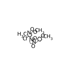 COC(=O)c1cc(N2CCC(=O)N(Cc3ccc(OC)cc3)C2=O)c(Cl)c(C)n1